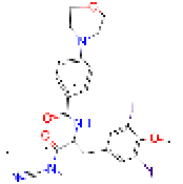 COc1c(I)cc(CC(NC(=O)c2ccc(N3CCOCC3)cc2)C(=O)N(C)C#N)cc1I